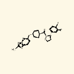 Cc1nc2ccc(C[C@H]3CC[C@H](C(=O)N4OCC[C@H]4c4ccc(F)c(F)c4)CC3)nn2n1